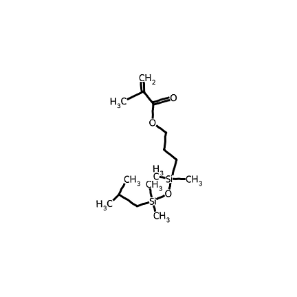 C=C(C)C(=O)OCCC[Si](C)(C)O[Si](C)(C)CC(C)C